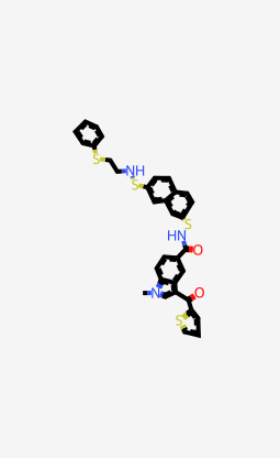 Cn1cc(C(=O)c2cccs2)c2cc(C(=O)NSc3ccc4ccc(SNCCSc5ccccc5)cc4c3)ccc21